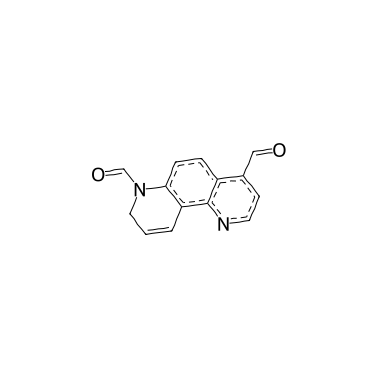 O=Cc1ccnc2c3c(ccc12)N(C=O)CC=C3